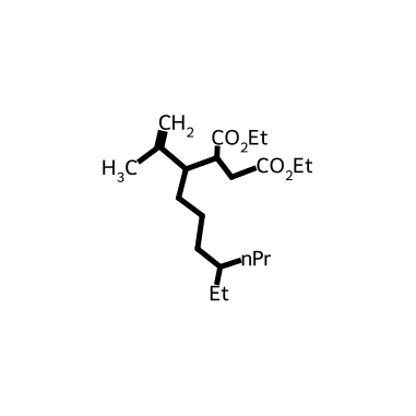 C=C(C)C(CCCC(CC)CCC)C(CC(=O)OCC)C(=O)OCC